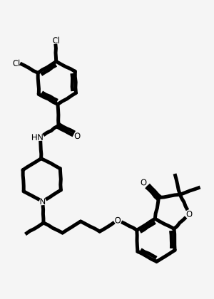 CC(CCCOc1cccc2c1C(=O)C(C)(C)O2)N1CCC(NC(=O)c2ccc(Cl)c(Cl)c2)CC1